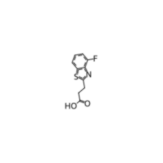 O=C(O)CCc1nc2c(F)cccc2s1